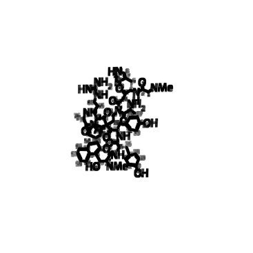 CNCC(=O)N[C@@H](Cc1c[nH]cn1)C(=O)CC(=O)N(CCC(C(=O)[C@@H](Cc1ccc(O)cc1)NC(=O)[C@H](Cc1ccc(O)cc1)NC(=O)[C@@H](NC)C(O)c1cccc2ccccc12)(C(=O)[C@H](CCCNC(=N)N)N(C(C)=O)C(=O)[C@H](C)N)C1CCCCC1)C(=O)[C@H](C)N